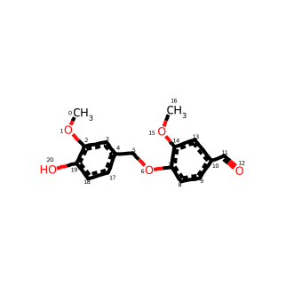 COc1cc(COc2ccc(C=O)cc2OC)ccc1O